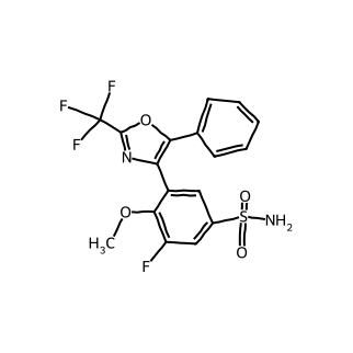 COc1c(F)cc(S(N)(=O)=O)cc1-c1nc(C(F)(F)F)oc1-c1ccccc1